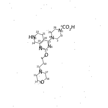 O=C(O)N1CCN(c2nc(OCCCN3CCOCC3)nc3c2CCNC3)CC1